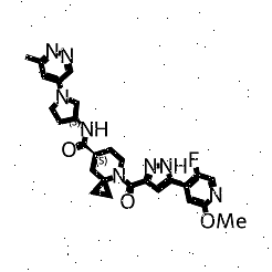 COc1cc(-c2cc(C(=O)N3CC[C@H](C(=O)N[C@H]4CCN(c5cnnc(C)c5)C4)CC34CC4)n[nH]2)c(F)cn1